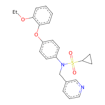 CCOc1ccccc1Oc1ccc(N(Cc2cccnc2)S(=O)(=O)C2CC2)cc1